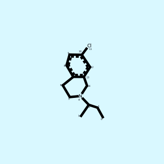 CCC(C)N1CCc2ccc(Cl)cc2C1